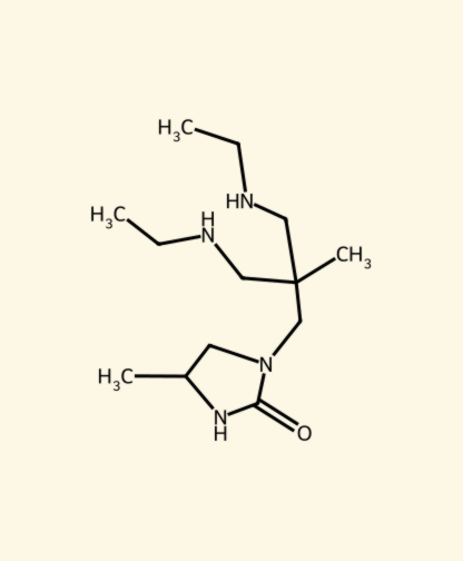 CCNCC(C)(CNCC)CN1CC(C)NC1=O